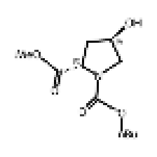 CCCCOC(=O)N1C[C@H](O)C[C@H]1C(=O)OC